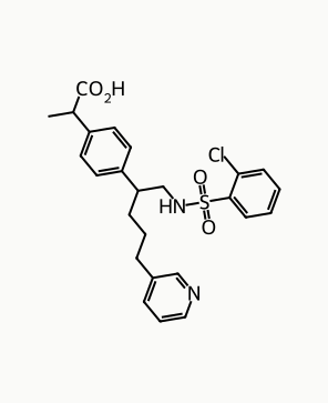 CC(C(=O)O)c1ccc(C(CCCc2cccnc2)CNS(=O)(=O)c2ccccc2Cl)cc1